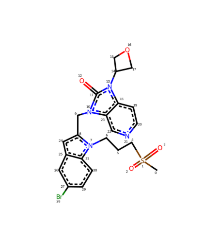 CS(=O)(=O)CCCn1c(Cn2c(=O)n(C3COC3)c3ccncc32)cc2cc(Br)ccc21